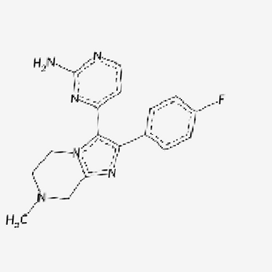 CN1CCn2c(nc(-c3ccc(F)cc3)c2-c2ccnc(N)n2)C1